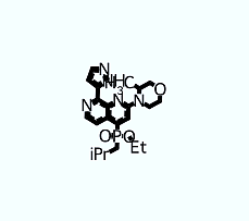 CCOP(=O)(CC(C)C)c1cc(N2CCOCC2C)nc2c(-c3ccn[nH]3)nccc12